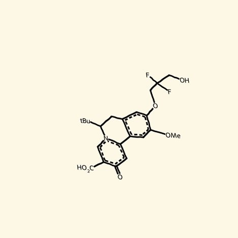 COc1cc2c(cc1OCC(F)(F)CO)CC(C(C)(C)C)n1cc(C(=O)O)c(=O)cc1-2